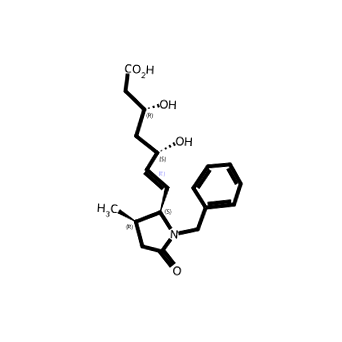 C[C@@H]1CC(=O)N(Cc2ccccc2)[C@@H]1/C=C/[C@@H](O)C[C@@H](O)CC(=O)O